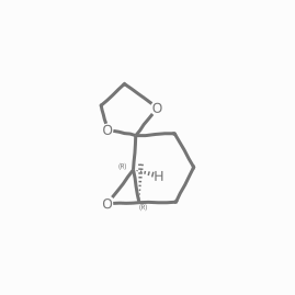 C[C@@]12CCCC3(OCCO3)[C@@H]1O2